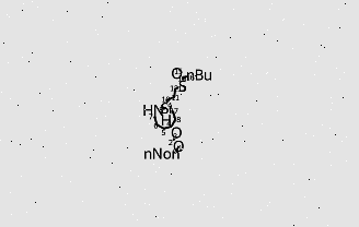 CCCCCCCCCOCOC1CCCN[SiH](CCCSC(=O)CCCC)CC1